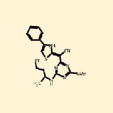 CNc1nc(NC(C)CCC(C)C)nc(/C(C#N)=C2/NC(c3ccccc3)=CS2)n1